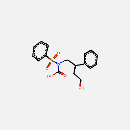 O=C(O)N(CC(CCO)c1ccccc1)S(=O)(=O)c1ccccc1